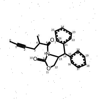 CC#CCC(C)C(=O)N1C(=O)OCC1C(c1ccccc1)c1ccccc1